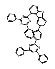 c1ccc(-c2cc(-c3ccccc3)nc(-c3ccc(-c4ccc5oc6cccc(-c7nc(-c8ccccc8)nc(-c8ccccc8)n7)c6c5c4)cc3)n2)cc1